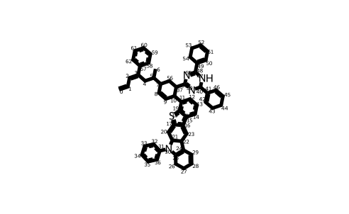 C=C/C=C(\CC(C)C1C=CC(c2cccc3c4c(sc23)=CC2C(C=4)C3=C(CCC=C3)N2c2ccccc2)C(C2=NC(C3=CCCC=C3)NC(C3=CC=CCC3)=N2)C1)c1ccccc1